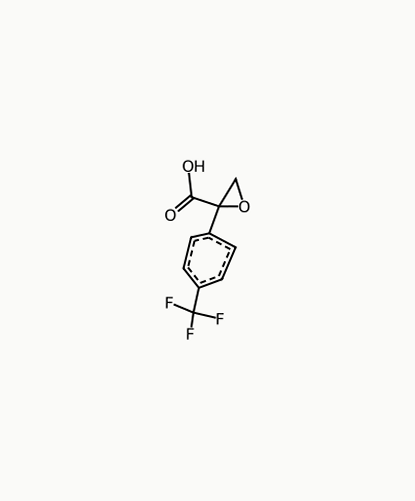 O=C(O)C1(c2ccc(C(F)(F)F)cc2)CO1